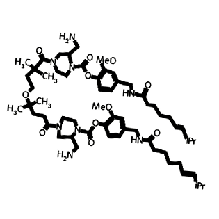 COc1cc(CNC(=O)CCCC/C=C/C(C)C)ccc1OC(=O)N1CCN(C(=O)CCC(C)(C)OCCC(C)(C)C(=O)N2CCN(C(=O)Oc3ccc(CNC(=O)CCCC/C=C/C(C)C)cc3OC)C(CN)C2)CC1CN